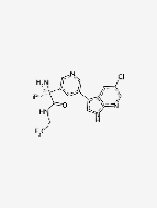 CC(C)[C@@](N)(C(=O)NCC(F)(F)F)c1cncc(-c2c[nH]c3ncc(Cl)cc23)c1